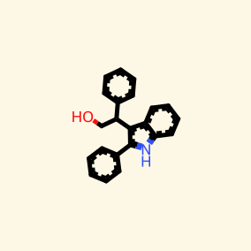 OCC(c1ccccc1)c1c(-c2ccccc2)[nH]c2ccccc12